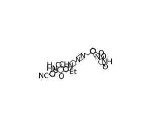 CCc1cc2c(cc1N1CCC(N3CCN(CCc4cccc5c4CN(C4CCC(=O)NC4=O)C5=O)CC3)CC1)C(C)(C)c1[nH]c3cc(C#N)ccc3c1C2=O